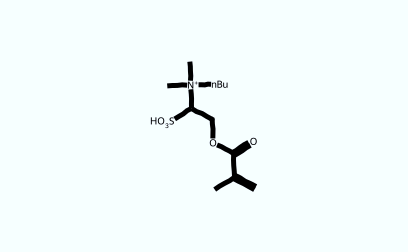 C=C(C)C(=O)OCC([N+](C)(C)CCCC)S(=O)(=O)O